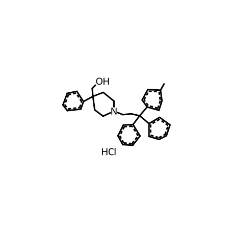 Cc1ccc(C(CCN2CCC(CO)(c3ccccc3)CC2)(c2ccccc2)c2ccccc2)cc1.Cl